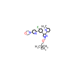 Cc1cccc(-c2nn(COCC[Si](C)(C)C)cc2-c2ccc(F)c(-c3ccc(N4CCOCC4)cn3)c2)n1